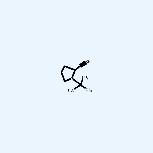 C#CC1CCCN1C(C)(C)C